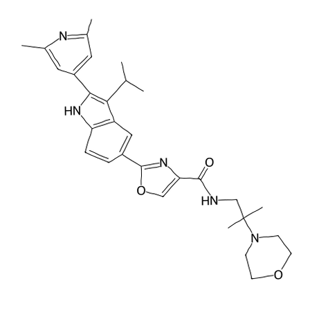 Cc1cc(-c2[nH]c3ccc(-c4nc(C(=O)NCC(C)(C)N5CCOCC5)co4)cc3c2C(C)C)cc(C)n1